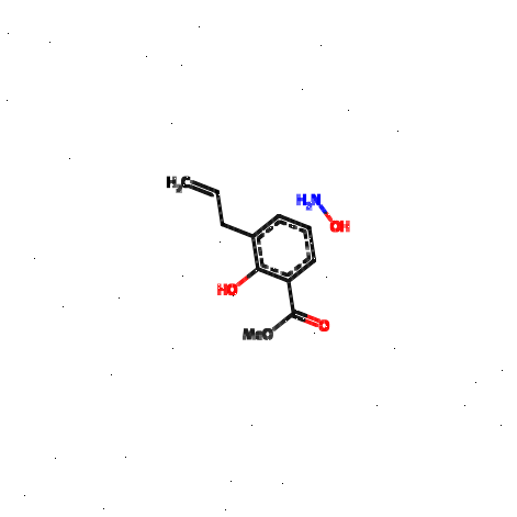 C=CCc1cccc(C(=O)OC)c1O.NO